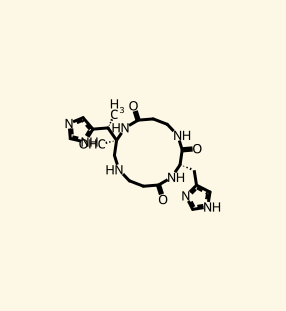 C[C@@H](c1cnc[nH]1)[C@]1(C=O)CNCCC(=O)N[C@@H](Cc2c[nH]cn2)C(=O)NCCC(=O)N1